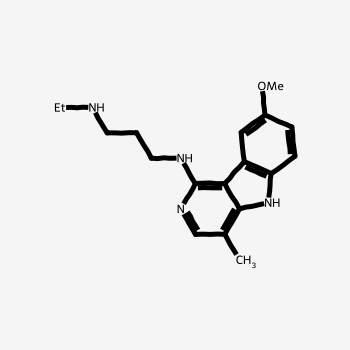 CCNCCCNc1ncc(C)c2[nH]c3ccc(OC)cc3c12